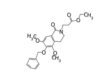 CCOC(=O)CCN1CCc2c(cc(OC)c(OCc3ccccc3)c2OC)C1=O